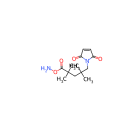 CC(C)(CN1C(=O)C=CC1=O)CC(C)(C)C(=O)ON